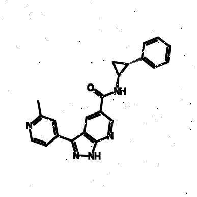 Cc1cc(-c2n[nH]c3ncc(C(=O)N[C@H]4C[C@@H]4c4ccccc4)cc23)ccn1